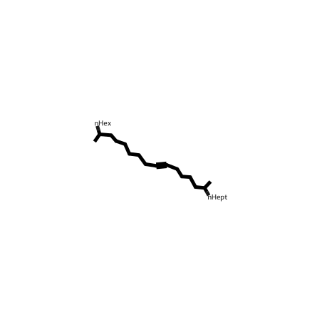 [CH2]CCCCCCC(C)CCCCC#CCCCCCCC(C)CCCCC[CH2]